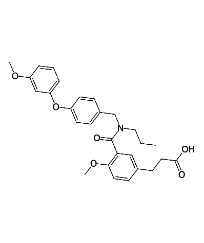 CCCN(Cc1ccc(Oc2cccc(OC)c2)cc1)C(=O)c1cc(CCC(=O)O)ccc1OC